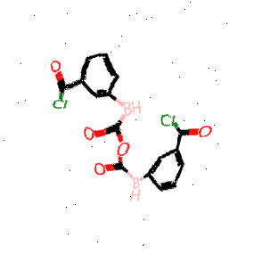 O=C(Bc1cccc(C(=O)Cl)c1)OC(=O)Bc1cccc(C(=O)Cl)c1